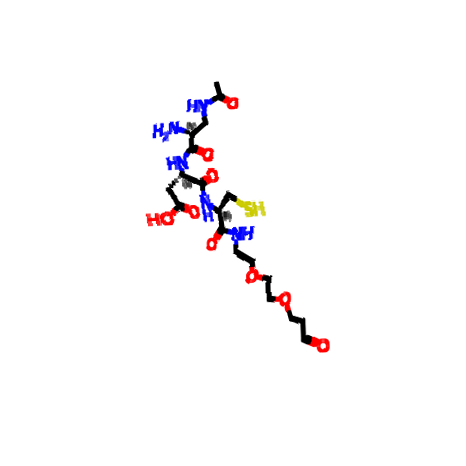 CC(=O)NC[C@H](N)C(=O)N[C@@H](CC(=O)O)C(=O)N[C@@H](CS)C(=O)NCCOCCOCCC=O